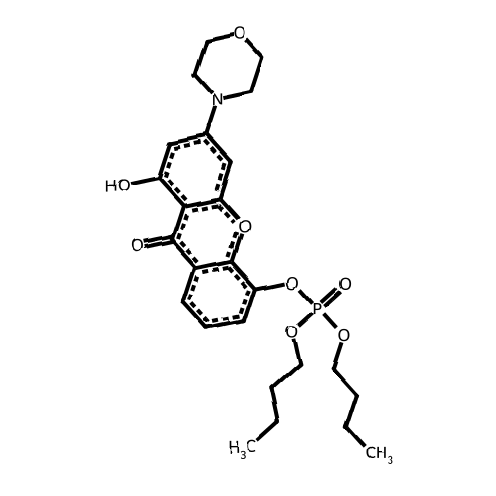 CCCCOP(=O)(OCCCC)Oc1cccc2c(=O)c3c(O)cc(N4CCOCC4)cc3oc12